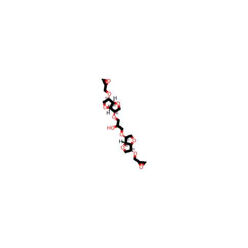 OC(CO[C@H]1COC2[C@H](OCC3CO3)CO[C@@H]21)CO[C@@H]1CO[C@H]2[C@@H]1OC[C@@H]2OCC1CO1